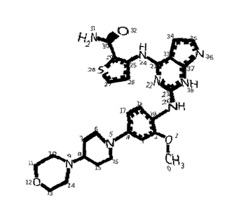 COc1cc(N2CCC(N3CCOCC3)CC2)ccc1Nc1nc(Nc2ccsc2C(N)=O)c2ccnc-2[nH]1